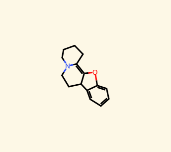 c1ccc2c(c1)OC1=C3CCCCN3CCC12